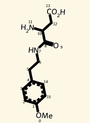 COc1ccc(CCNC(=O)C(N)CC(=O)O)cc1